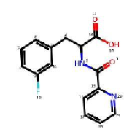 O=C(NC(Cc1cccc(F)c1)C(=O)O)c1ccccn1